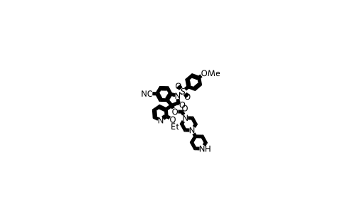 CCOc1ncccc1C1(OC(=O)N2CCN(C3CCNCC3)CC2)C(=O)N(S(=O)(=O)c2ccc(OC)cc2)c2ccc(C#N)cc21